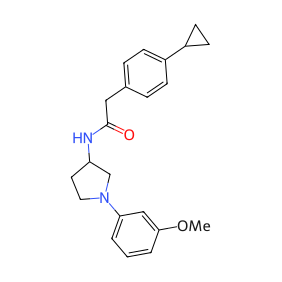 COc1cccc(N2CCC(NC(=O)Cc3ccc(C4CC4)cc3)C2)c1